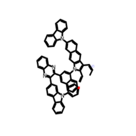 C=Cc1c(/C=C\C)c2cc3ccc(-n4c5ccccc5c5ccccc54)cc3cc2n1-c1cc(-c2nc3ccccc3nc2-c2ccc3c4ccccc4n(-c4ccccc4)c3c2)cc2ccccc12